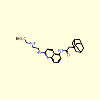 CCOC(=O)CNCCNc1ccc2c(NC(=O)CC34CC5CC(CC(C5)C3)C4)cccc2n1